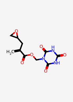 C=C(CC1CO1)C(=O)OCn1c(=O)[nH]c(=O)[nH]c1=O